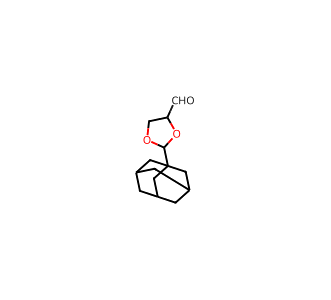 O=CC1COC(C23CC4CC(CC(C4)C2)C3)O1